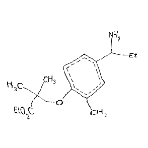 CCOC(=O)C(C)(C)Oc1ccc(C(N)CC)cc1C